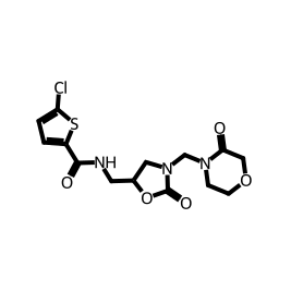 O=C(NCC1CN(CN2CCOCC2=O)C(=O)O1)c1ccc(Cl)s1